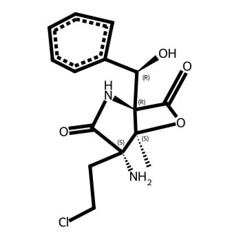 C[C@@]12OC(=O)[C@]1([C@H](O)c1ccccc1)NC(=O)[C@]2(N)CCCl